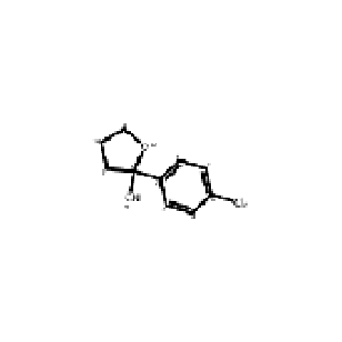 N#CC1(c2ccc(Cl)cc2)CCCO1